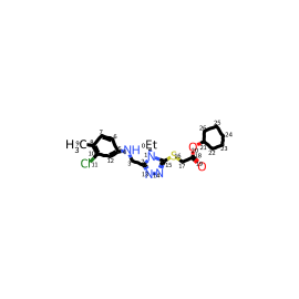 CCn1c(CNc2ccc(C)c(Cl)c2)nnc1SCC(=O)OC1CCCCC1